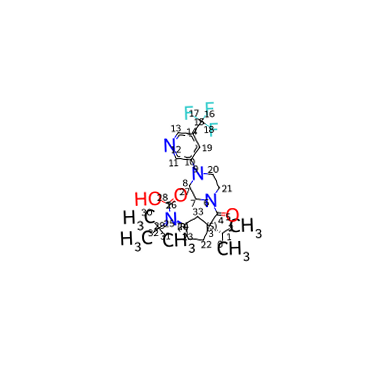 CC(C)[C@]1(C(=O)N2CCN(c3cncc(C(F)(F)F)c3)CC2)CC[C@@H](N(C(=O)O)C(C)(C)C)C1